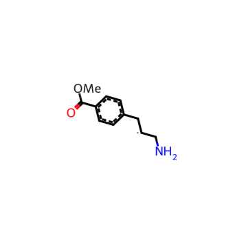 COC(=O)c1ccc(C[CH]CN)cc1